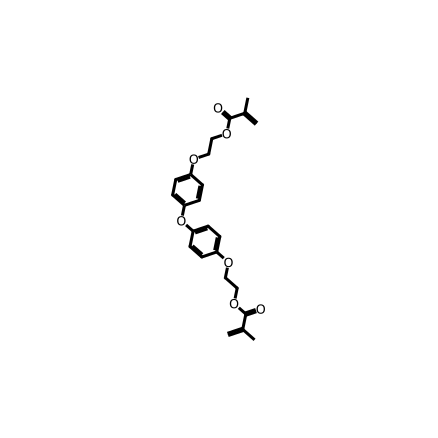 C=C(C)C(=O)OCCOc1ccc(Oc2ccc(OCCOC(=O)C(=C)C)cc2)cc1